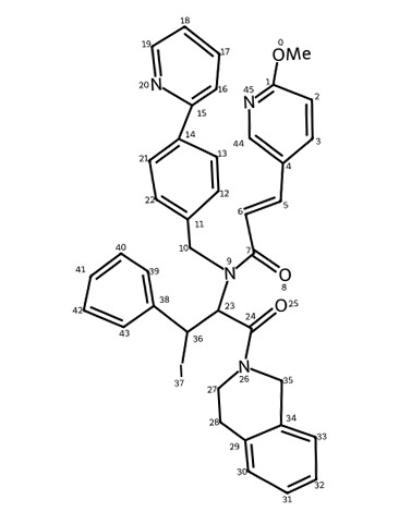 COc1ccc(C=CC(=O)N(Cc2ccc(-c3ccccn3)cc2)C(C(=O)N2CCc3ccccc3C2)C(I)c2ccccc2)cn1